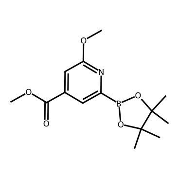 COC(=O)c1cc(OC)nc(B2OC(C)(C)C(C)(C)O2)c1